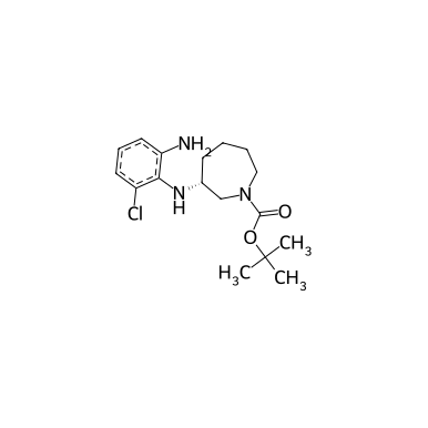 CC(C)(C)OC(=O)N1CCCC[C@@H](Nc2c(N)cccc2Cl)C1